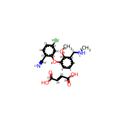 CNCc1cccc(Oc2cc(Br)ccc2C#N)c1OC.O=C(O)C=CC(=O)O